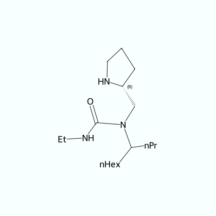 CCCCCCC(CCC)N(C[C@H]1CCCN1)C(=O)NCC